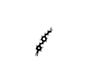 N#Cc1ccc(CCC2CCC(CCC=CF)CC2)cc1